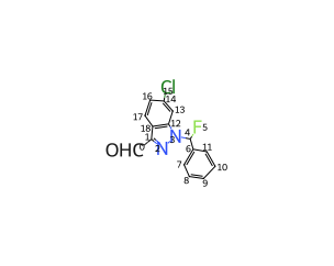 O=Cc1nn(C(F)c2ccccc2)c2cc(Cl)ccc12